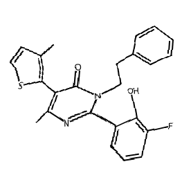 Cc1ccsc1-c1c(C)nc(-c2cccc(F)c2O)n(CCc2ccccc2)c1=O